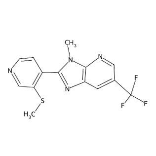 CSc1cnccc1-c1nc2cc(C(F)(F)F)cnc2n1C